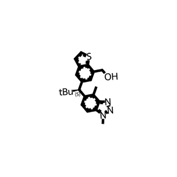 Cc1c([C@H](c2cc(CO)c3sccc3c2)C(C)(C)C)ccc2c1nnn2C